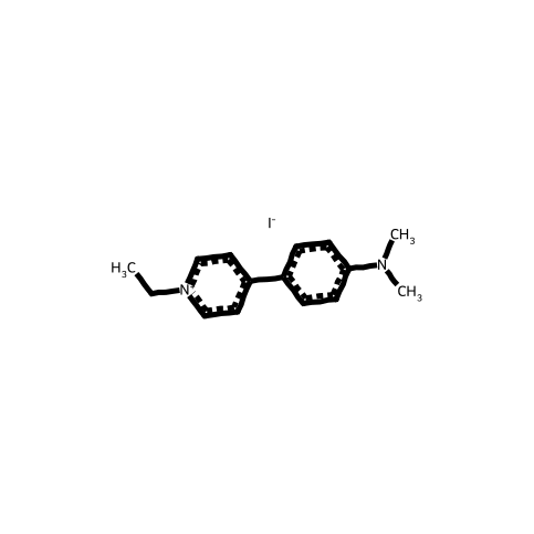 CC[n+]1ccc(-c2ccc(N(C)C)cc2)cc1.[I-]